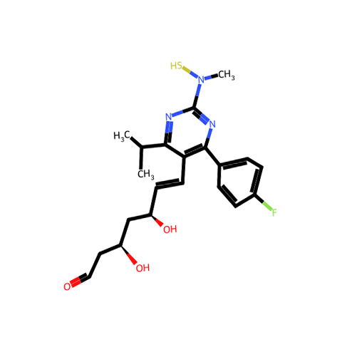 CC(C)c1nc(N(C)S)nc(-c2ccc(F)cc2)c1/C=C/[C@@H](O)C[C@@H](O)CC=O